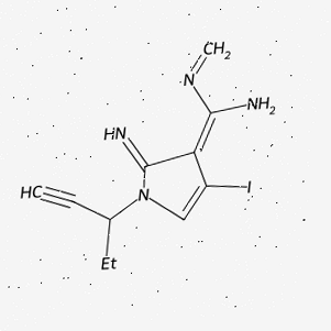 C#CC(CC)N1C=C(I)/C(=C(\N)N=C)C1=N